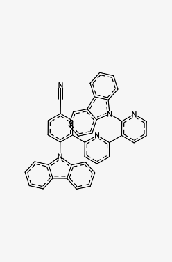 N#Cc1ccc(-n2c3ccccc3c3ccccc32)c(-c2cccc(-c3cccnc3-n3c4ccccc4c4ccccc43)n2)c1